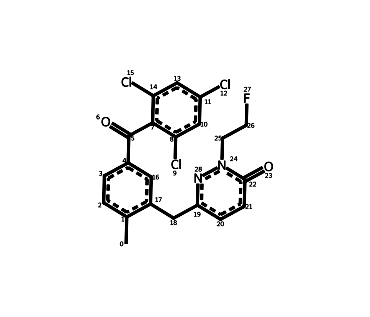 Cc1ccc(C(=O)c2c(Cl)cc(Cl)cc2Cl)cc1Cc1ccc(=O)n(CCF)n1